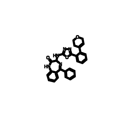 O=C1Nc2ccccc2C(c2ccccc2)=NC1Nc1nnc(-c2ccccc2C2=CCOCC2)o1